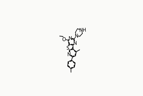 CCOc1nc(N2CCNCC2)nc2c1sc1nc(-c3ccc(C)cc3)cc(C)c12